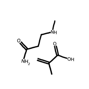 C=C(C)C(=O)O.CNCCC(N)=O